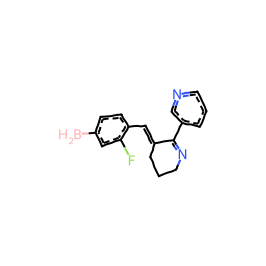 Bc1ccc(/C=C2\CCCN=C2c2cccnc2)c(F)c1